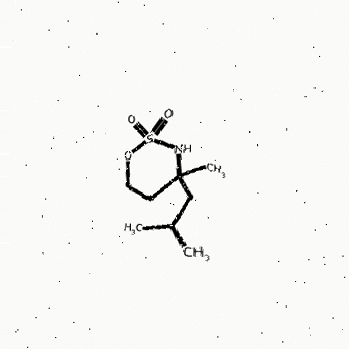 CC(C)CC1(C)CCOS(=O)(=O)N1